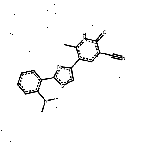 Cc1[nH]c(=O)c(C#N)cc1-c1csc(-c2ccccc2N(C)C)n1